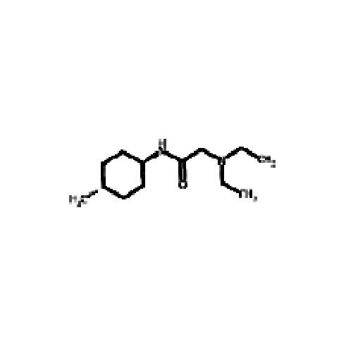 CCN(CC)CC(=O)N[C@H]1CC[C@H](C)CC1